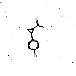 NC(=O)C1CC1c1ccc(Cl)cc1